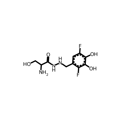 NC(CO)C(=O)NNCc1cc(F)c(O)c(O)c1F